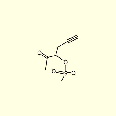 C#CCC(OS(C)(=O)=O)C(C)=O